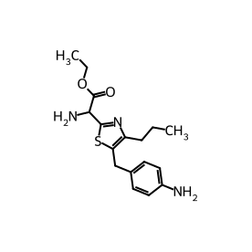 CCCc1nc(C(N)C(=O)OCC)sc1Cc1ccc(N)cc1